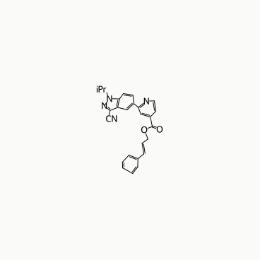 CC(C)n1nc(C#N)c2cc(-c3cc(C(=O)OC/C=C/c4ccccc4)ccn3)ccc21